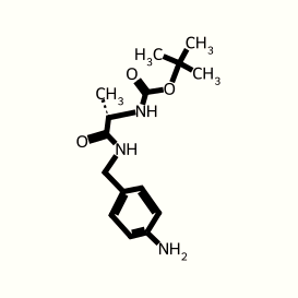 C[C@H](NC(=O)OC(C)(C)C)C(=O)NCc1ccc(N)cc1